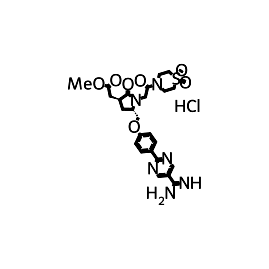 COC(=O)C[C@@H]1C[C@@H](COc2ccc(-c3ncc(C(=N)N)cn3)cc2)N(CC(=O)N2CCS(=O)(=O)CC2)C1=O.Cl